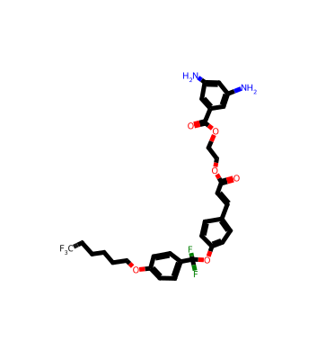 Nc1cc(N)cc(C(=O)OCCOC(=O)C=Cc2ccc(OC(F)(F)c3ccc(OCCCCCC(F)(F)F)cc3)cc2)c1